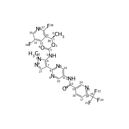 C[C@@H](OC(=O)Nc1c(-c2ncc(NC(=O)c3ccc(C(F)(F)F)nc3)cn2)cnn1C)c1cc(F)cnc1F